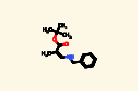 CC(=CNCc1ccccc1)C(=O)OC(C)(C)C